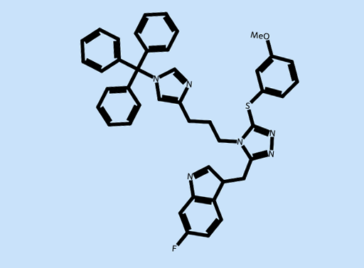 COc1cccc(Sc2nnc(CC3C=Nc4cc(F)ccc43)n2CCCc2cn(C(c3ccccc3)(c3ccccc3)c3ccccc3)cn2)c1